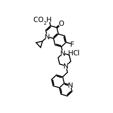 Cl.O=C(O)c1cn(C2CC2)c2cc(N3CCN(Cc4cccc5cccnc45)CC3)c(F)cc2c1=O